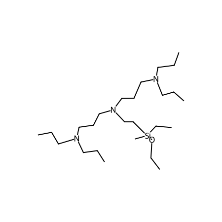 CCCN(CCC)CCCN(CCCN(CCC)CCC)CC[Si](C)(CC)OCC